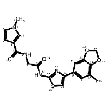 Cn1ccc(C(=O)NCC(=O)Nc2nc(-c3cc(F)c4c(c3)OCO4)cs2)c1